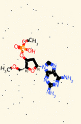 COC[C@H]1O[C@@H](n2cnc3c(N)nc(N)nc32)CC1OP(=O)(O)OC